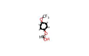 OBOc1ccc(OC(F)(F)F)cc1